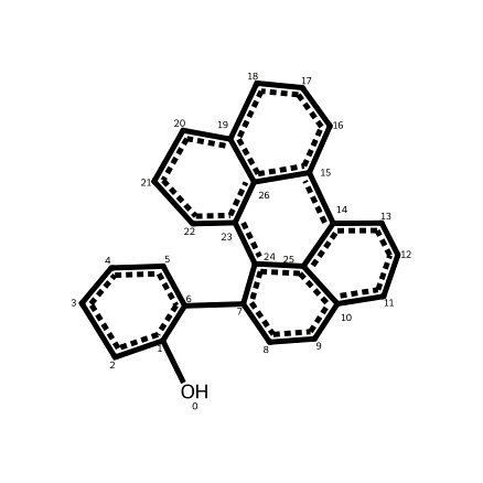 Oc1ccccc1-c1ccc2cccc3c4cccc5cccc(c1c23)c54